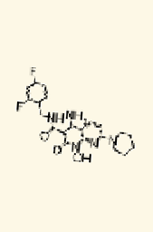 Nc1c(C(=O)NCc2ccc(F)cc2F)c(=O)n(O)c2nc(N3CCCCC3)ccc12